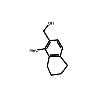 COc1c(CO)ccc2c1CCCC2